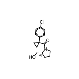 O=C(N1CCC[C@@H]1CO)C1(c2ccc(Cl)cc2)CC1